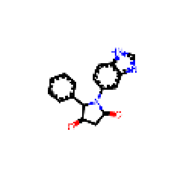 O=C1CC(=O)N(c2ccc3[nH]cnc3c2)C1c1ccccc1